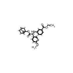 CCOC(=O)c1cccc(NC(C(=O)OC2CN3CCC2CC3)c2ccc(OC)nc2)c1